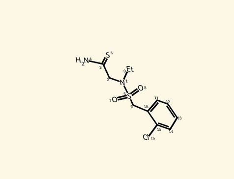 CCN(CC(N)=S)S(=O)(=O)Cc1ccccc1Cl